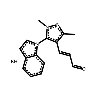 Cc1nn(C)c(-n2ccc3ccccc32)c1/C=C/C=O.[KH]